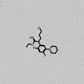 CCOC(=N)C(CCCCl)c1cc(N2CCCCC2)c(F)cc1F